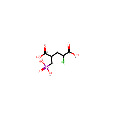 O=C(O)C([18F])CC(CP(=O)(O)O)C(=O)O